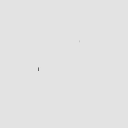 CC(F)C(CCC(=O)O)C(=O)O